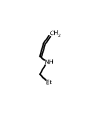 C=C=CNCCC